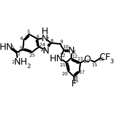 N=C(N)c1ccc2[nH]c(Cc3nc4c(OCC(F)(F)F)cc(F)cc4[nH]3)nc2c1